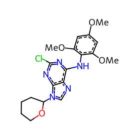 COc1cc(OC)c(Nc2nc(Cl)nc3c2ncn3C2CCCCO2)c(OC)c1